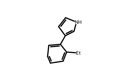 CCc1ccccc1-c1cc[nH]c1